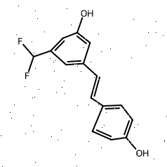 Oc1ccc(/C=C/c2cc(O)cc(C(F)F)c2)cc1